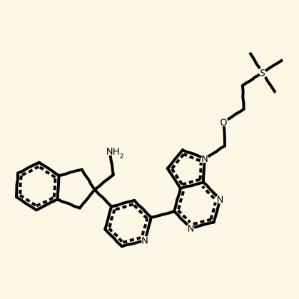 CS(C)(C)CCOCn1ccc2c(-c3cc(C4(CN)Cc5ccccc5C4)ccn3)ncnc21